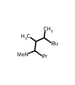 CCC(C)C(C)C(C)C(NC)C(C)C